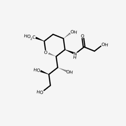 O=C(CO)N[C@H]1[C@H]([C@H](O)[C@H](O)CO)O[C@@H](C(=O)O)C[C@@H]1O